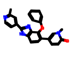 Cc1cc(-c2nc3c(Oc4ccccc4)c(-c4ccc(=O)n(C)c4)ccc3[nH]2)ccn1